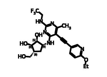 CCOc1ccc(C#Cc2c(C)nc(NCC(F)(F)F)nc2N[C@@H]2C[C@H](CO)[C@@H](O)[C@H]2O)cn1